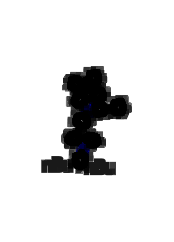 CCCCc1cc(CCCC)cc(-n2c3ccccc3c3c(-c4ccc(N(c5ccc(-c6ccccc6)cc5)c5cccc6c5-c5ccccc5C65c6ccccc6-c6ccccc65)cc4)cccc32)c1